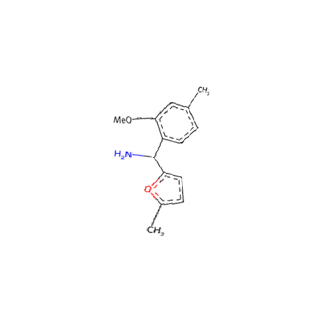 COc1cc(C)ccc1C(N)c1ccc(C)o1